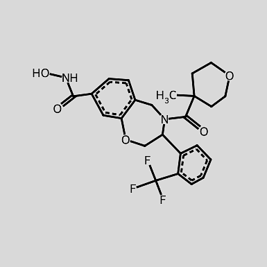 CC1(C(=O)N2Cc3ccc(C(=O)NO)cc3OCC2c2ccccc2C(F)(F)F)CCOCC1